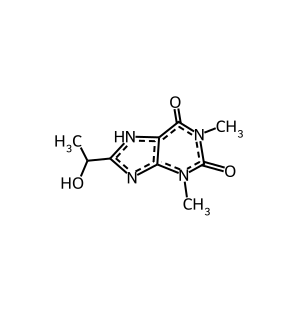 CC(O)c1nc2c([nH]1)c(=O)n(C)c(=O)n2C